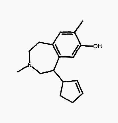 Cc1cc2c(cc1O)C(C1C=CCC1)CN(C)CC2